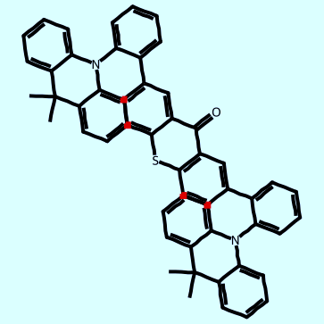 CC1(C)c2ccccc2N(c2ccccc2-c2ccc3sc4ccc(-c5ccccc5N5c6ccccc6C(C)(C)c6ccccc65)cc4c(=O)c3c2)c2ccccc21